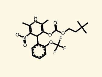 CC1=C(OC(=O)OCCC(C)(C)C)C(c2ccccc2OC(F)(F)F)C([N+](=O)[O-])=C(C)N1